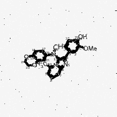 COc1cc(-c2nc3cccc(C)n3c2N(C)c2ccc3c(c2)OCCO3)ccc1O